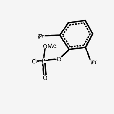 COP(=O)(Cl)Oc1c(C(C)C)cccc1C(C)C